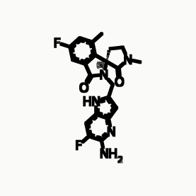 Cc1cc(F)cc2c1[C@]1(CCN(C)C1=O)N(Cc1cc3nc(N)c(F)cc3[nH]1)C2=O